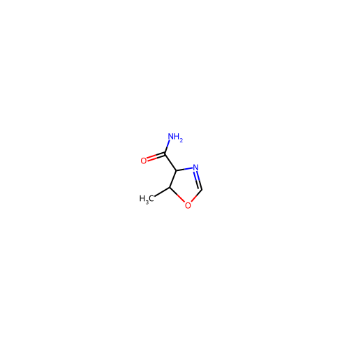 CC1OC=NC1C(N)=O